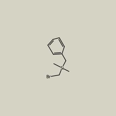 C[Si](C)(CBr)Cc1ccccc1